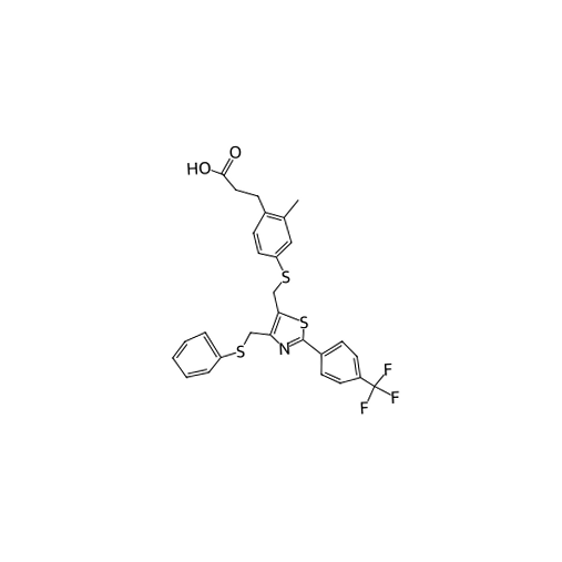 Cc1cc(SCc2sc(-c3ccc(C(F)(F)F)cc3)nc2CSc2ccccc2)ccc1CCC(=O)O